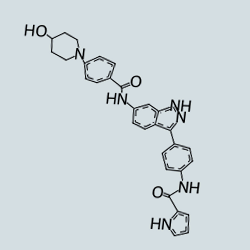 O=C(Nc1ccc2c(-c3ccc(NC(=O)c4ccc[nH]4)cc3)n[nH]c2c1)c1ccc(N2CCC(O)CC2)cc1